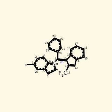 Cc1ccc2c(ccn2/C(=C2\C(C(F)(F)F)=Cc3ccccc32)c2ccccc2)c1